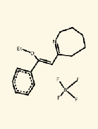 CCOC(=CC1=NCCCCC1)c1ccccc1.F[B-](F)(F)F